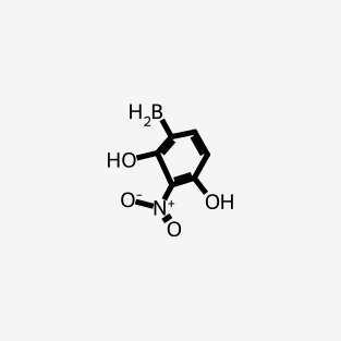 Bc1ccc(O)c([N+](=O)[O-])c1O